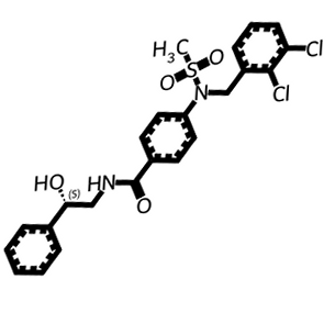 CS(=O)(=O)N(Cc1cccc(Cl)c1Cl)c1ccc(C(=O)NC[C@@H](O)c2ccccc2)cc1